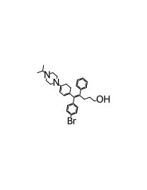 CC(C)N1CCN(C2=CC=C(/C(=C(/CCCO)c3ccccc3)c3ccc(Br)cc3)CC2)CC1